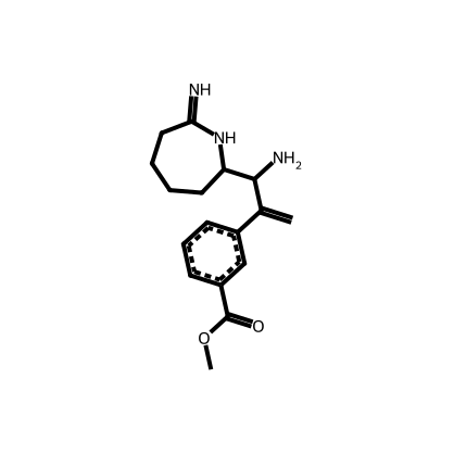 C=C(c1cccc(C(=O)OC)c1)C(N)C1CCCCC(=N)N1